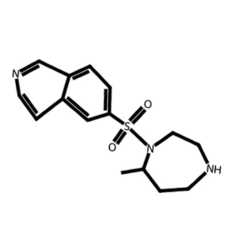 CC1CCNCCN1S(=O)(=O)c1ccc2cnccc2c1